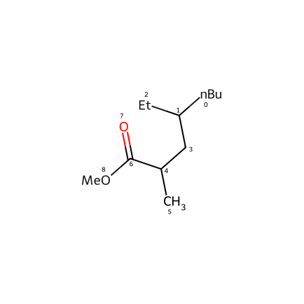 CCCCC(CC)CC(C)C(=O)OC